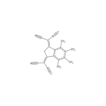 [C-]#[N+]/C(C#N)=C1/C/C(=C(\C#N)[N+]#[C-])c2c(C)c(C)c(C)c(C)c21